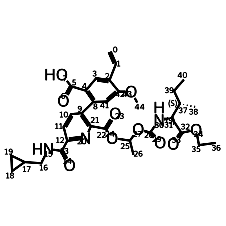 C=Cc1cc(C(=O)O)c(-c2ccc(C(=O)NCC3CC3)nc2C(=O)OC(C)OC(=O)N[C@H](C(=O)OCC)[C@@H](C)CC)cc1OC